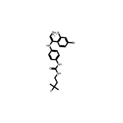 CC(C)(F)CCNC(=O)Nc1ccc(N/C(=C/N)c2ccc(Br)cc2N)cc1